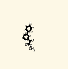 COC(=O)C(=O)c1cccc(-c2ccc(F)cc2)c1